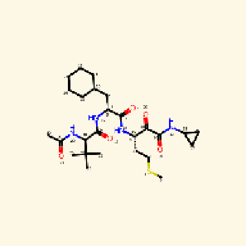 CSCC[C@H](NC(=O)[C@H](CC1CCCCC1)NC(=O)C(NC(C)=O)C(C)(C)C)C(=O)C(=O)NC1CC1